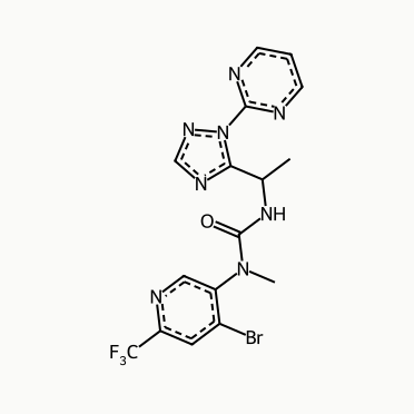 CC(NC(=O)N(C)c1cnc(C(F)(F)F)cc1Br)c1ncnn1-c1ncccn1